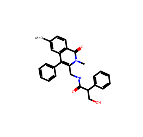 COc1ccc2c(=O)n(C)c(CNC(=O)C(CO)c3ccccc3)c(-c3ccccc3)c2c1